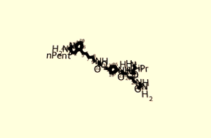 CCCCCc1cc2c(CCCCCNC(=O)OCc3ccc(NC(=O)[C@H](CCCNC(N)=O)NC(=O)[C@@H](N)C(C)C)cc3)cccc2nc1N